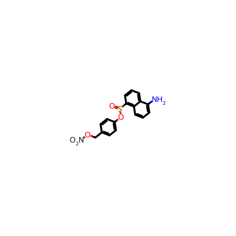 Nc1cccc2c(S(=O)Oc3ccc(CO[N+](=O)[O-])cc3)cccc12